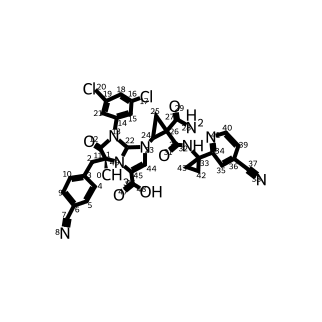 C[C@@]1(Cc2ccc(C#N)cc2)C(=O)N(c2cc(Cl)cc(Cl)c2)C2N(C3CC3(C(N)=O)C(=O)NC3(c4cc(C#N)ccn4)CC3)C=C(C(=O)O)N21